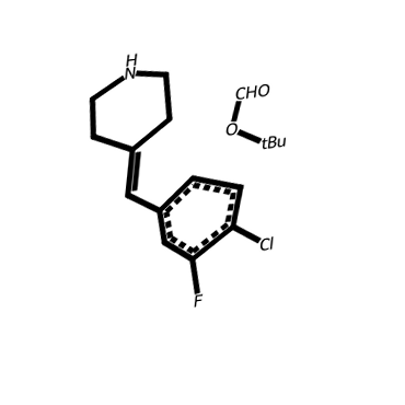 CC(C)(C)OC=O.Fc1cc(C=C2CCNCC2)ccc1Cl